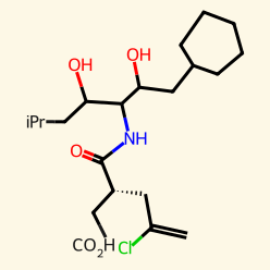 C=C(Cl)C[C@H](CC(=O)O)C(=O)NC(C(O)CC(C)C)C(O)CC1CCCCC1